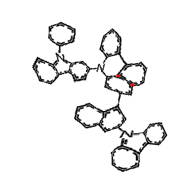 c1ccc(-c2ccccc2N(c2cccc(-c3cc(-n4c5ccccc5c5ccccc54)cc4ccccc34)c2)c2ccc3c4ccccc4n(-c4ccccc4)c3c2)cc1